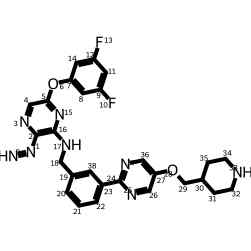 N=Nc1ncc(Oc2cc(F)cc(F)c2)nc1NCc1cccc(-c2ncc(OCC3CCNCC3)cn2)c1